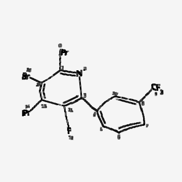 CC(C)c1nc(-c2cccc(C(F)(F)F)c2)c(F)c(C(C)C)c1Br